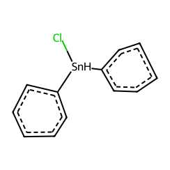 [Cl][SnH]([c]1ccccc1)[c]1ccccc1